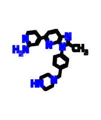 Cc1nc2ccc(-c3ccnc(N)c3)nc2n1-c1ccc(CN2CCNCC2)cc1